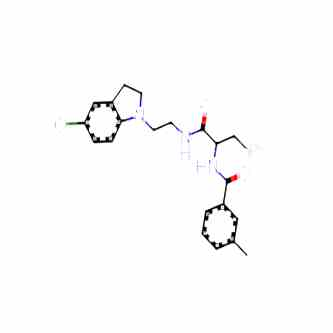 Cc1cccc(C(=O)NC(CC(C)C)C(=O)NCCN2CCc3cc(Cl)ccc32)c1